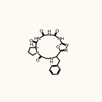 O=C1NC(=O)Nc2nnc(o2)C(Cc2ccccc2)NCC(=O)N2CCC[C@H]2C(=O)N1